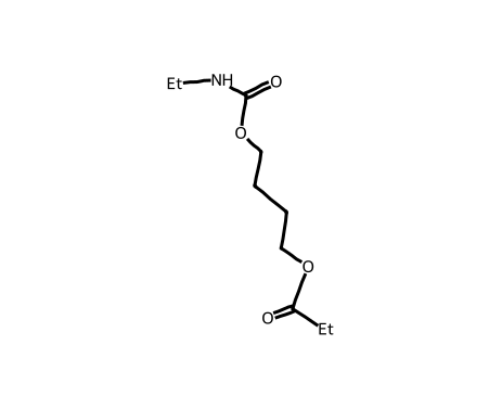 CCNC(=O)OCCCCOC(=O)CC